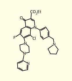 CCOC(=O)c1cn(-c2ccc(CN3CCCC3)cc2)c2c(Cl)c(N3CCN(c4ccccn4)CC3)c(F)cc2c1=O